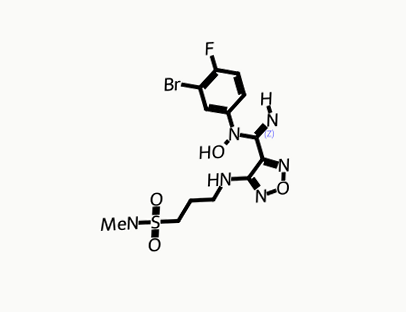 [H]/N=C(/c1nonc1NCCCS(=O)(=O)NC)N(O)c1ccc(F)c(Br)c1